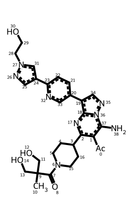 CC(=O)c1c(C2CCN(C(=O)C(C)(CO)CO)CC2)nc2c(-c3ccc(-c4cnn(CCO)c4)nc3)cnn2c1N